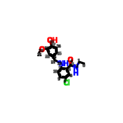 CCNC(=O)c1cc(Cl)ccc1NCc1ccc(O)c(OC)c1